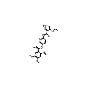 C=Nc1cc(OC)c(OC)cc1/C(=C\C)Oc1ccc(NC(=O)c2n[nH]cc2OCC)nc1